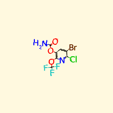 NC(=O)Oc1cc(Br)c(Cl)nc1OC(F)(F)F